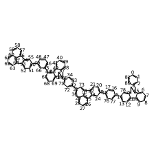 c1ccc(-n2c3ccccc3c3ccc(-c4ccc(-c5ccc6c(c5)-c5cccc7cc(-c8ccc(-n9c%10ccccc%10c%10c(-c%11cccc(-c%12ccc%13c(c%12)-c%12cccc%14cccc-%13c%12%14)c%11)cccc%109)cc8)cc-6c57)cc4)cc32)cc1